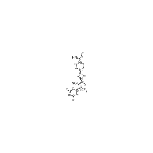 C=CC(=N)N1CCN(C2CN(/C(C)=C(C#N)/C(=C(\C=C\C)CC(=C)C)C(F)(F)F)C2)CC1